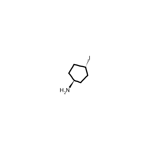 N[C@H]1CC[C@H](I)CC1